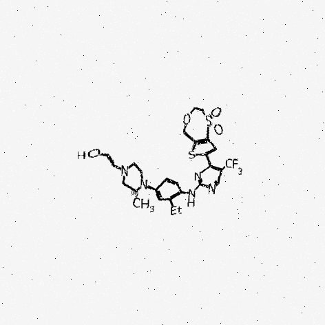 CCc1cc(N2CCN(CCO)C[C@H]2C)ccc1Nc1ncc(C(F)(F)F)c(-c2cc3c(s2)COCCS3(=O)=O)n1